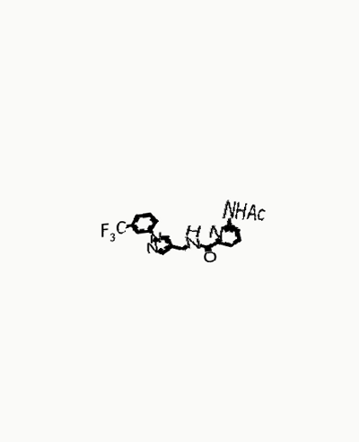 CC(=O)Nc1cccc(C(=O)NCc2cnn(-c3cccc(C(F)(F)F)c3)c2)n1